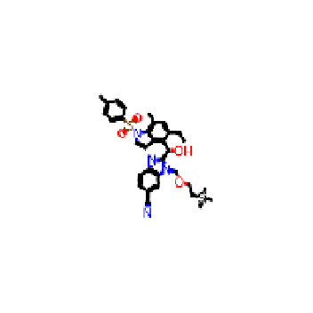 CCc1cc(C)c2c(ccn2S(=O)(=O)c2ccc(C)cc2)c1C(O)c1nc2ccc(C#N)cc2n1COCC[Si](C)(C)C